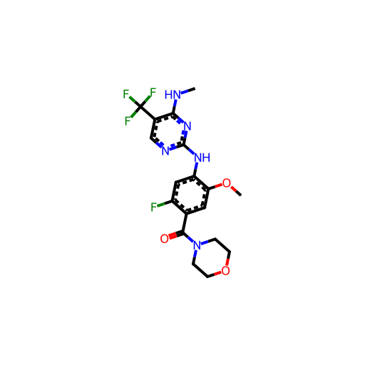 CNc1nc(Nc2cc(F)c(C(=O)N3CCOCC3)cc2OC)ncc1C(F)(F)F